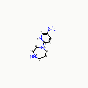 Nc1ccc(N2CCCNCC2)nc1